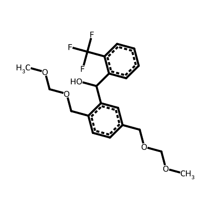 COCOCc1ccc(COCOC)c(C(O)c2ccccc2C(F)(F)F)c1